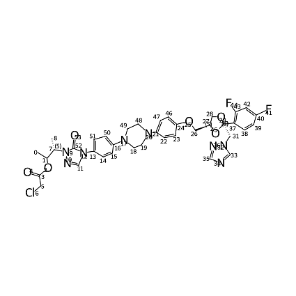 CC(OC(=O)CCl)[C@H](C)n1ncn(-c2ccc(N3CCN(c4ccc(OC[C@H]5CO[C@@](Cn6cncn6)(c6ccc(F)cc6F)O5)cc4)CC3)cc2)c1=O